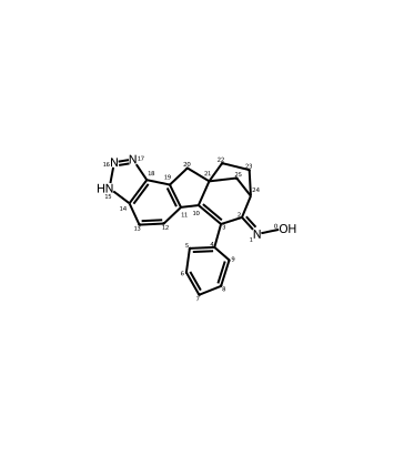 ON=C1C(c2ccccc2)=C2c3ccc4[nH]nnc4c3CC23CCC1C3